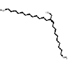 CCCCCCCCCCC=C(CC)CCCCCCCCCCCCC